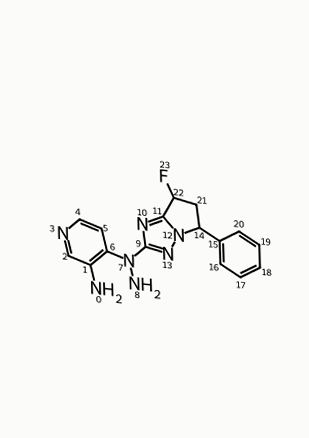 Nc1cnccc1N(N)c1nc2n(n1)C(c1ccccc1)CC2F